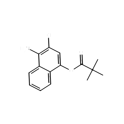 CC(C)(C)C(=O)Oc1cc(Cl)c(N)c2ccccc12